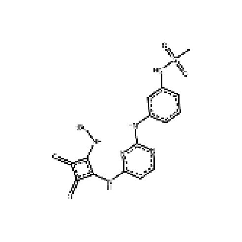 CC(C)(C)Nc1c(Nc2ccnc(Nc3cccc(NS(C)(=O)=O)c3)n2)c(=O)c1=O